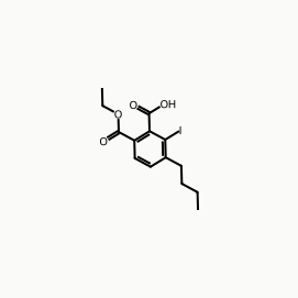 CCCCc1ccc(C(=O)OCC)c(C(=O)O)c1I